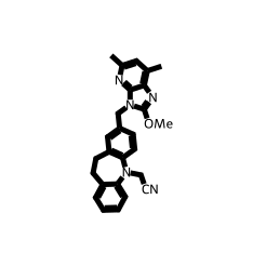 COc1nc2c(C)cc(C)nc2n1Cc1ccc2c(c1)CCc1ccccc1N2CC#N